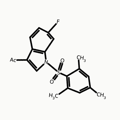 CC(=O)c1cn(S(=O)(=O)c2c(C)cc(C)cc2C)c2cc(F)ccc12